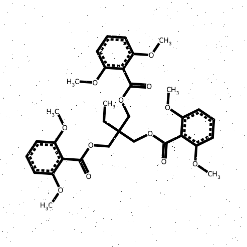 CCC(COC(=O)c1c(OC)cccc1OC)(COC(=O)c1c(OC)cccc1OC)COC(=O)c1c(OC)cccc1OC